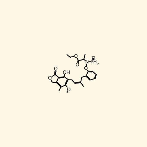 CCOC(=O)C(C)N(Oc1ccccc1CC(C)=CCc1c(O)c2c(c(C)c1OC)COC2=O)[PH2]=O